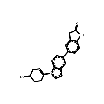 N#CC1CC=C(n2ccc3cc(-c4ccc5c(c4)CC(=O)N5)cnc32)CC1